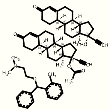 C#C[C@]1(O)CC[C@H]2[C@@H]3CCC4=CC(=O)CC[C@@H]4[C@H]3CC[C@@]21C.C#C[C@]1(OC(C)=O)CC[C@H]2[C@@H]3CCC4=CC(=O)CC[C@@H]4[C@H]3CC[C@@]21C.Cc1ccccc1C(OCCN(C)C)c1ccccc1